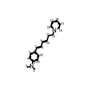 CN(C)c1ccc(C=CC=CCC[n+]2ccccc2)cc1